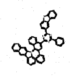 c1ccc(-c2nc(-c3ccc4sc5ccccc5c4c3)nc(-c3cc(-c4ccccc4)c(-n4c5ccccc5c5cc6ccccc6cc54)c4ccccc34)n2)cc1